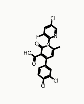 Cc1cc(-c2ccc(Cl)c(Cl)c2)c(C(=O)O)c(=O)n1-c1ncc(Cl)cc1F